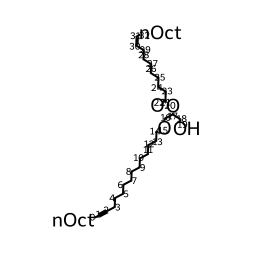 CCCCCCCCC#CCCCCCCCCCCCCOCC(CO)OC(=O)CCCCCCC/C=C\CCCCCCCC